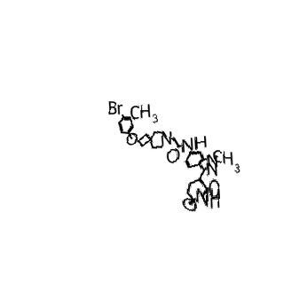 Cc1cc(OC2CC3(CCN(CC(=O)Nc4ccc5c(C6CCC(=O)NC6=O)nn(C)c5c4)CC3)C2)ccc1Br